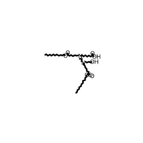 CCCCCCCCCCCCOC(=O)CCCCCCN(CCCCCCC(=O)O)CCCN(CCCCO)CCCCCCC(=C=O)OCCCCCCCCCCCC